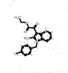 CCOC(=O)C(=O)c1c(C)n(Cc2ccc(Cl)cc2)c2cccnc12